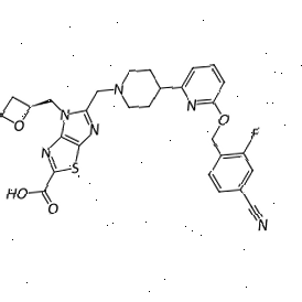 N#Cc1ccc(COc2cccc(C3CCN(Cc4nc5sc(C(=O)O)nc5n4C[C@@H]4CCO4)CC3)n2)c(F)c1